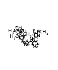 COc1ncc(-n2nc(-c3cnn(CC4C[C@@H](C)N(C(=O)OC(C)(C)C)[C@@H](C)C4)c3)c3c2CCOCC3)cc1F